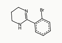 Brc1ccccc1C1=NCCCN1